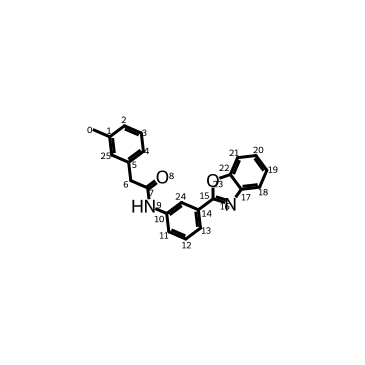 Cc1cccc(CC(=O)Nc2cccc(-c3nc4ccccc4o3)c2)c1